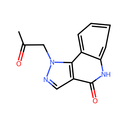 CC(=O)Cn1ncc2c(=O)[nH]c3ccccc3c21